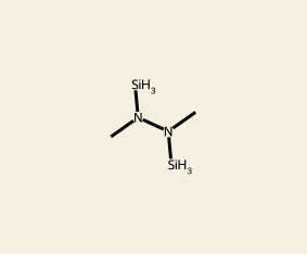 CN([SiH3])N(C)[SiH3]